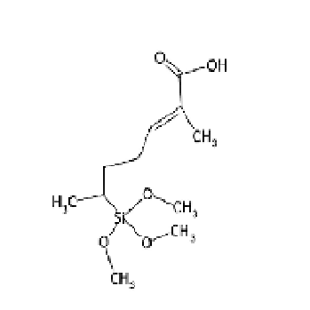 CO[Si](OC)(OC)C(C)CC/C=C(\C)C(=O)O